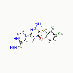 Cn1c(N2CCN[C@H](CN)C2)nc(N)c(Sc2cccc(Cl)c2Cl)c1=O